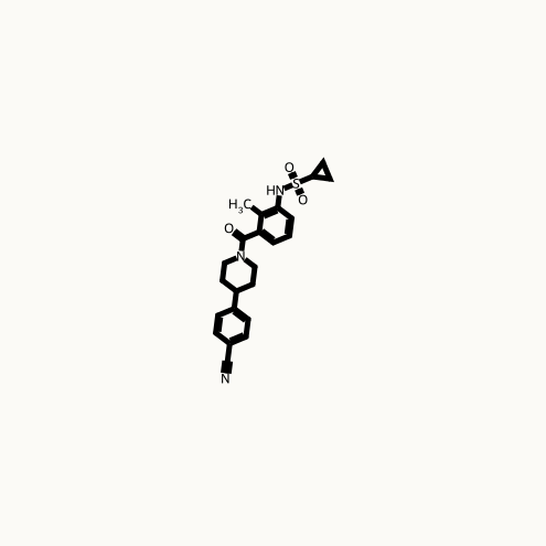 Cc1c(NS(=O)(=O)C2CC2)cccc1C(=O)N1CCC(c2ccc(C#N)cc2)CC1